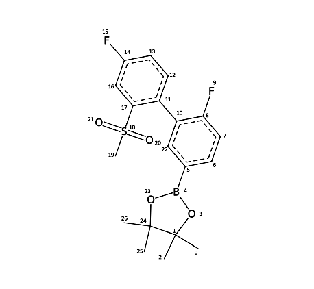 CC1(C)OB(c2ccc(F)c(-c3ccc(F)cc3S(C)(=O)=O)c2)OC1(C)C